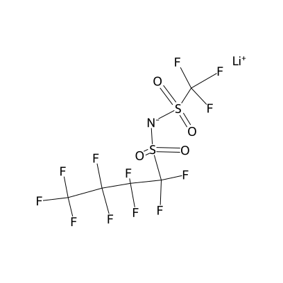 O=S(=O)([N-]S(=O)(=O)C(F)(F)C(F)(F)C(F)(F)C(F)(F)F)C(F)(F)F.[Li+]